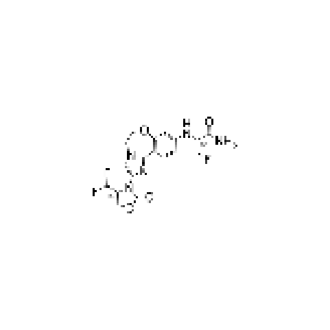 NC(=O)[C@H](CF)Nc1ccc2c(c1)OCCn1cc(N3C(=O)OC[C@H]3C(F)F)nc1-2